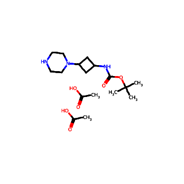 CC(=O)O.CC(=O)O.CC(C)(C)OC(=O)NC1CC(N2CCNCC2)C1